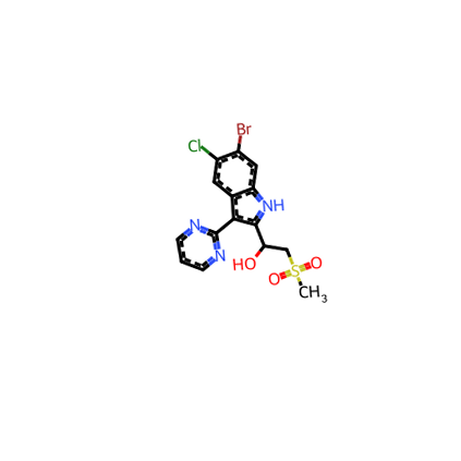 CS(=O)(=O)CC(O)c1[nH]c2cc(Br)c(Cl)cc2c1-c1ncccn1